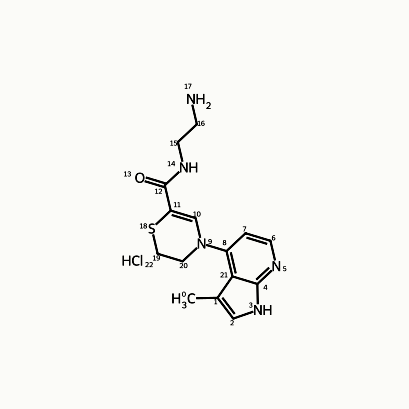 Cc1c[nH]c2nccc(N3C=C(C(=O)NCCN)SCC3)c12.Cl